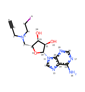 C#CCN(CCI)C[C@H]1O[C@@H](n2cnc3c(N)ncnc32)[C@H](O)[C@@H]1O